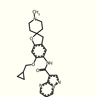 CN1CCC2(CC1)Cc1cc(NC(=O)c3cnn4cccnc34)c(OCC3CC3)cc1O2